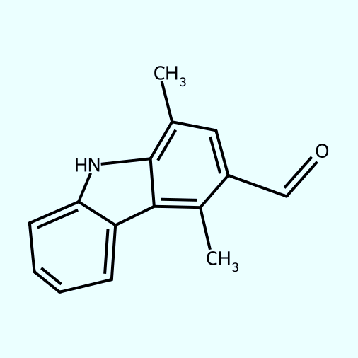 Cc1cc(C=O)c(C)c2c1[nH]c1ccccc12